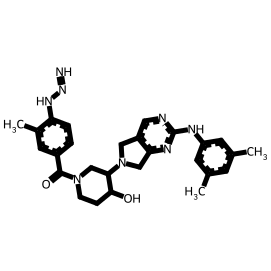 Cc1cc(C)cc(Nc2ncc3c(n2)CN(C2CN(C(=O)c4ccc(NN=N)c(C)c4)CCC2O)C3)c1